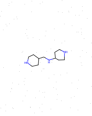 C1CC(CNC2CCNCC2)CCN1